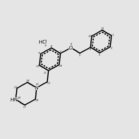 Cl.c1ccc(COc2cccc(CN3CCNCC3)c2)cc1